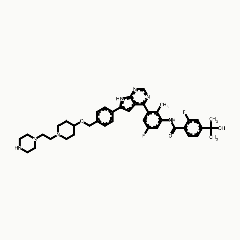 Cc1c(NC(=O)c2ccc(C(C)(C)O)cc2F)cc(F)cc1-c1ncnc2[nH]c(-c3ccc(COC4CCN(CCN5CCNCC5)CC4)cc3)cc12